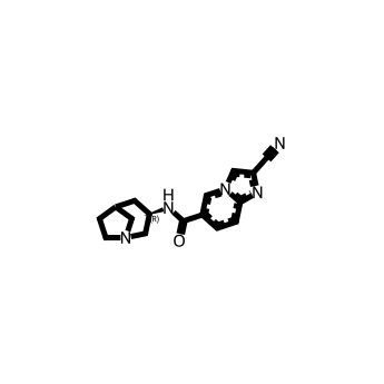 N#Cc1cn2cc(C(=O)N[C@@H]3CC4CCN(C4)C3)ccc2n1